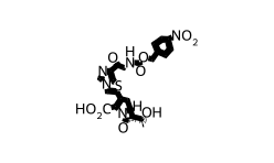 C[C@@H](O)[C@H]1C(=O)N2C(C(=O)O)=C(c3cn4cnc(C(=O)CNC(=O)OCc5ccc([N+](=O)[O-])cc5)c4s3)C[C@H]12